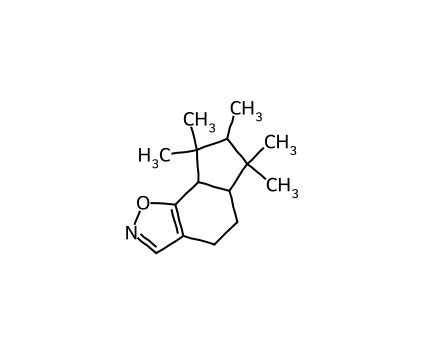 CC1C(C)(C)C2CCc3cnoc3C2C1(C)C